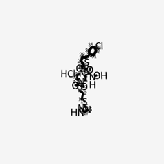 Cl.O=C(NO)[C@H]1CN(S(=O)(=O)CCCSc2nc[nH]n2)CCN1S(=O)(=O)c1ccc(-c2ccc(Cl)cc2)s1